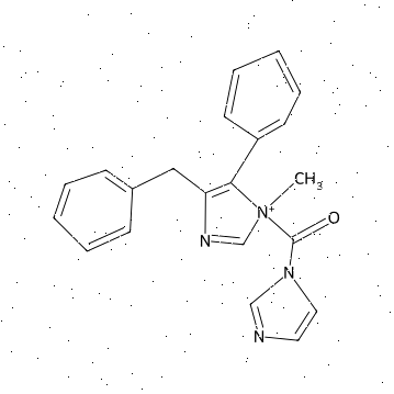 C[N+]1(C(=O)n2ccnc2)C=NC(Cc2ccccc2)=C1c1ccccc1